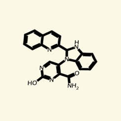 NC(=O)c1nc(O)ncc1N1c2ccccc2NC1c1ccc2ccccc2n1